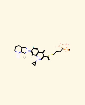 C=C(SCCCC(P(=C)(O)O)P(=O)(O)O)C1=CN(C2CC2)c2c(cc(F)c(N3C[C@@H]4CCCN[C@@H]4C3)c2OC)C1=C